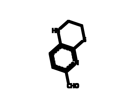 O=Cc1ccc2c(n1)SCCN2